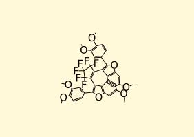 COc1ccc2c(C3=C(c4c(-c5ccc(OC)c(OC)c5)oc5cc(OC)ccc45)C(F)(F)C(F)(F)C3(F)F)c(-c3ccc(OC)c(OC)c3)oc2c1